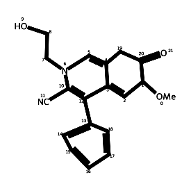 COC1C=C2C(=CN(CCO)C(C#N)=C2c2ccccc2)CC1=O